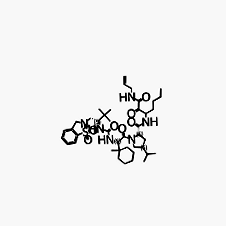 C=CCNC(=O)C(=O)C(CCCC)NC(=O)[C@@H]1C[C@@H](C(C)C)CN1C(=O)[C@@H](NC(=O)N[C@H](CN1Cc2ccccc2S1(=O)=O)C(C)(C)C)C1(C)CCCCC1